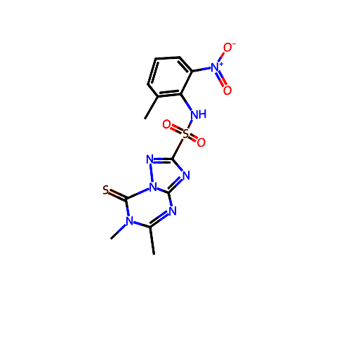 Cc1cccc([N+](=O)[O-])c1NS(=O)(=O)c1nc2nc(C)n(C)c(=S)n2n1